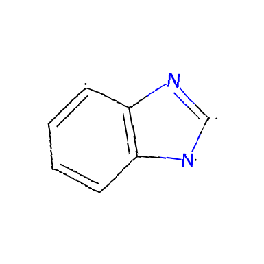 [C]1=Nc2[c]cccc2[N]1